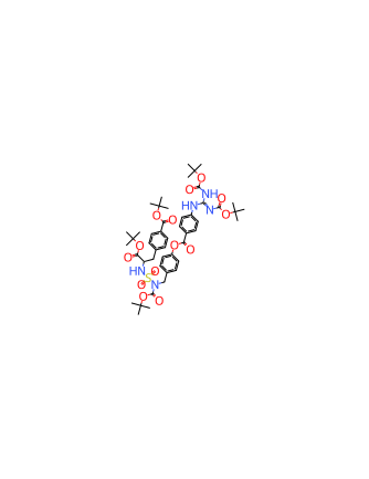 CC(C)(C)OC(=O)N=C(NC(=O)OC(C)(C)C)Nc1ccc(C(=O)Oc2ccc(CN(C(=O)OC(C)(C)C)S(=O)(=O)NC(Cc3ccc(C(=O)OC(C)(C)C)cc3)C(=O)OC(C)(C)C)cc2)cc1